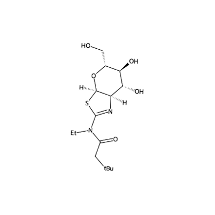 CCN(C(=O)CC(C)(C)C)C1=N[C@@H]2[C@@H](O)[C@H](O)[C@@H](CO)O[C@@H]2S1